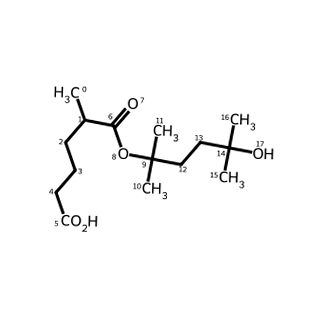 CC(CCCC(=O)O)C(=O)OC(C)(C)CCC(C)(C)O